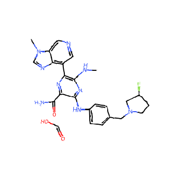 CNc1nc(Nc2ccc(CN3CC[C@H](F)C3)cc2)c(C(N)=O)nc1-c1cncc2c1ncn2C.O=CO